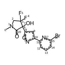 CN1CC(F)(F)C(O)(c2cc(-c3cccc(Br)n3)no2)C1=O